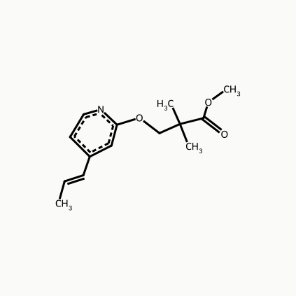 CC=Cc1ccnc(OCC(C)(C)C(=O)OC)c1